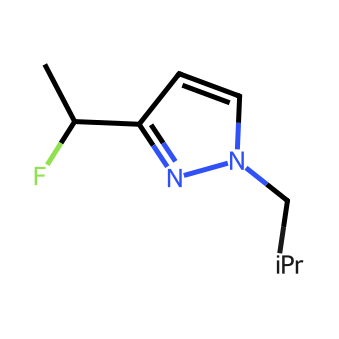 CC(C)Cn1ccc(C(C)F)n1